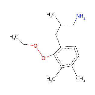 CCOOc1c(CC(C)CN)ccc(C)c1C